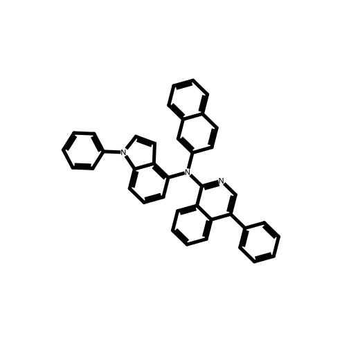 c1ccc(-c2cnc(N(c3ccc4ccccc4c3)c3cccc4c3ccn4-c3ccccc3)c3ccccc23)cc1